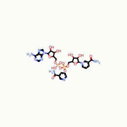 NC(=O)c1ccc[n+](C2OC(COP(=O)([O-])OP(=O)(O)OCC3OC(n4cnc5c(N)ncnc54)C(O)C3O)C(O)C2O)c1.NC(=O)c1cccnc1